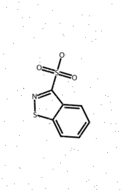 [O]S(=O)(=O)c1nsc2ccccc12